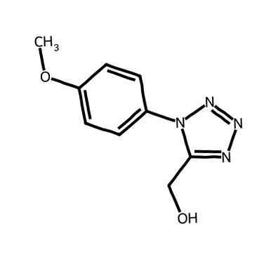 COc1ccc(-n2nnnc2CO)cc1